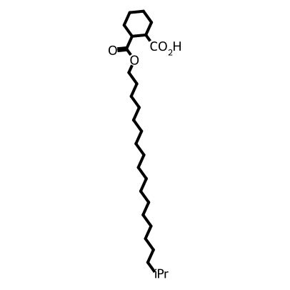 CC(C)CCCCCCCCCCCCCCCCCOC(=O)C1CCCCC1C(=O)O